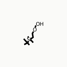 CC(C)(C)[Si](C)(C)CCOCO